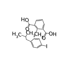 CC(C)Cc1ccc(I)cc1.Cc1c(C(=O)O)cccc1C(=O)O